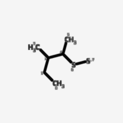 CCC(C)C(C)S[S]